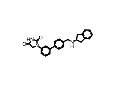 O=C1CN(c2cccc(-c3ccc(CNC4Cc5ccccc5C4)cc3)c2)C(=O)N1